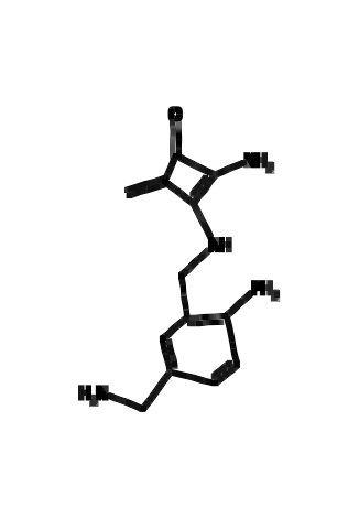 C=C1C(=O)C(N)=C1NCc1cc(CN)ccc1P